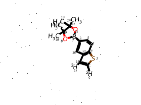 [2H]c1sc2ccc(B3OC(C)(C)C(C)(C)O3)cc2c1[2H]